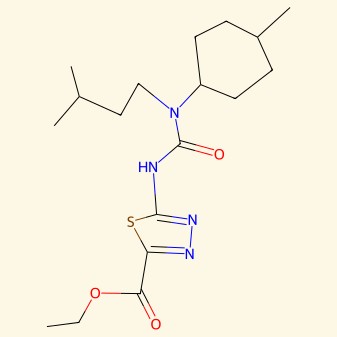 CCOC(=O)c1nnc(NC(=O)N(CCC(C)C)C2CCC(C)CC2)s1